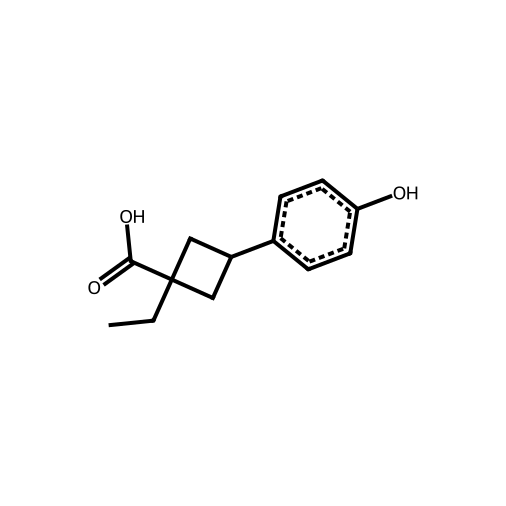 CCC1(C(=O)O)CC(c2ccc(O)cc2)C1